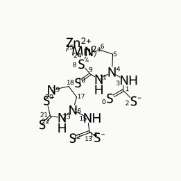 S=C([S-])NN1CCN=[S-]C(=S)N1.S=C([S-])NN1CCN=[S-]C(=S)N1.[Mn+2].[Zn+2]